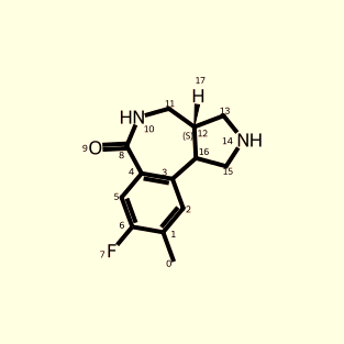 Cc1cc2c(cc1F)C(=O)NC[C@@H]1CNCC21